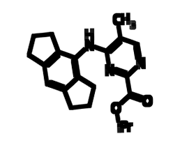 Cc1cnc(C(=O)OC(C)C)nc1Nc1c2c(cc3c1CCC3)CCC2